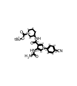 CC(C)(C)OC(=O)N1CCCC(NC(=O)c2cn(-c3ccc(C#N)cc3)cc2NC(N)=O)C1